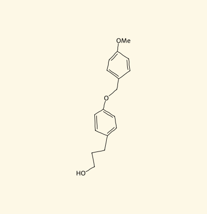 COc1ccc(COc2ccc(CCCO)cc2)cc1